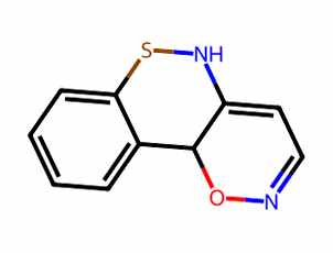 C1=NOC2C(=C1)NSc1ccccc12